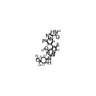 CNC(=O)c1cnc2c(F)cc(-c3c(F)cn4nc(NC5CCC(C)(OC)CC5)nc(OC)c34)cn12